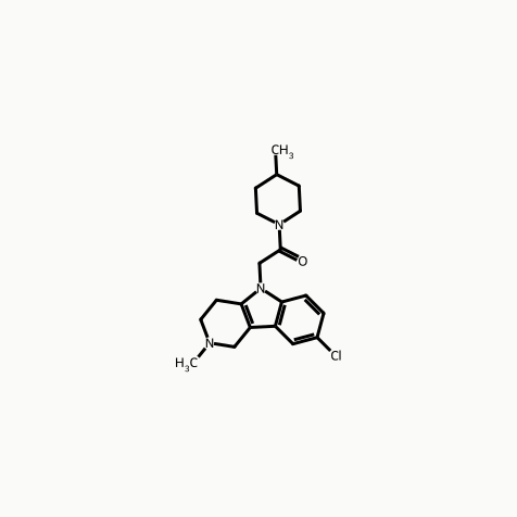 CC1CCN(C(=O)Cn2c3c(c4cc(Cl)ccc42)CN(C)CC3)CC1